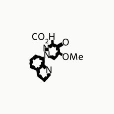 COc1cn(-c2cccc3cccnc23)nc(C(=O)O)c1=O